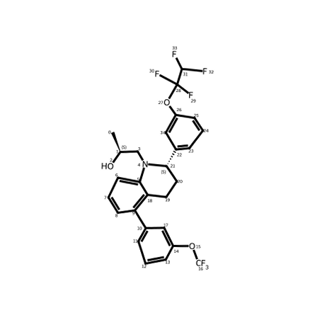 C[C@H](O)CN1c2cccc(-c3cccc(OC(F)(F)F)c3)c2CC[C@H]1c1cccc(OC(F)(F)C(F)F)c1